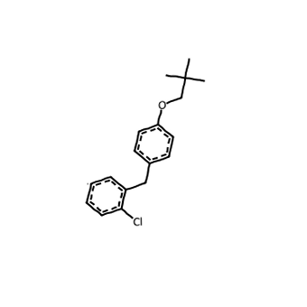 CC(C)(C)COc1ccc(Cc2c[c]ccc2Cl)cc1